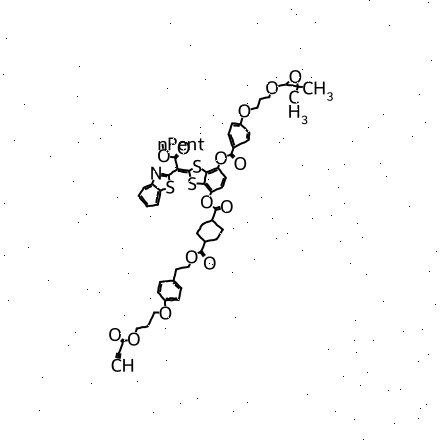 C#CC(=O)OCCCOc1ccc(CCOC(=O)C2CCC(C(=O)Oc3ccc(OC(=O)c4ccc(OCCCOC5OC5(C)C)cc4)c4c3S/C(=C(/C(=O)OCCCCC)c3nc5ccccc5s3)S4)CC2)cc1